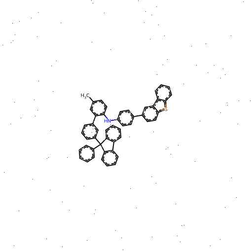 Cc1ccc(Nc2ccc(-c3ccc4sc5ccccc5c4c3)cc2)c(-c2cccc(C3(c4ccccc4)c4ccccc4-c4ccccc43)c2)c1